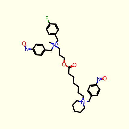 C[N+](CCCOC(=O)CCCCCC[N+]1(Cc2ccc(N=O)cc2)CCCCC1)(Cc1ccc(F)cc1)Cc1ccc(N=O)cc1